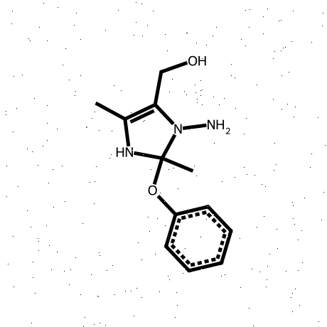 CC1=C(CO)N(N)C(C)(Oc2ccccc2)N1